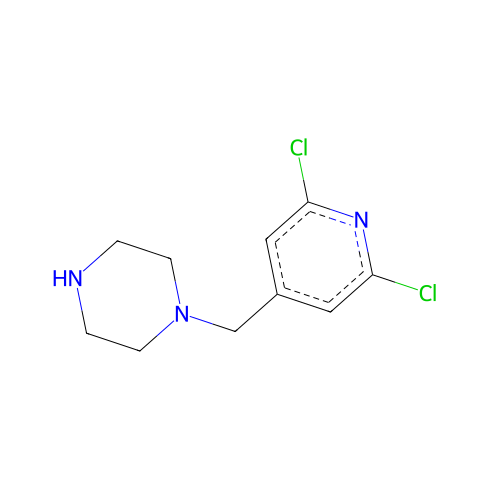 Clc1cc(CN2CCNCC2)cc(Cl)n1